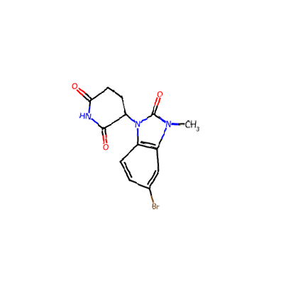 Cn1c(=O)n(C2CCC(=O)NC2=O)c2ccc(Br)cc21